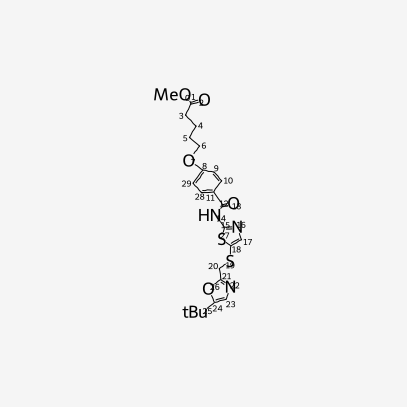 COC(=O)CCCCOc1ccc(C(=O)Nc2ncc(SCc3ncc(C(C)(C)C)o3)s2)cc1